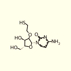 Nc1ccn([C@@H]2O[C@H](CO)[C@@H](O)[C@H]2OCCS)c(=O)n1